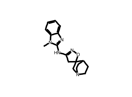 Cn1c(NC2=NOC3(C2)CN2CCC3CC2)nc2ccccc21